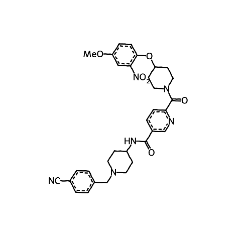 COc1ccc(OC2CCN(C(=O)c3ccc(C(=O)NC4CCN(Cc5ccc(C#N)cc5)CC4)cn3)CC2)c([N+](=O)[O-])c1